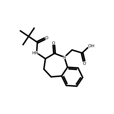 CC(C)(C)C(=O)NC1CCc2ccccc2N(CC(=O)O)C1=O